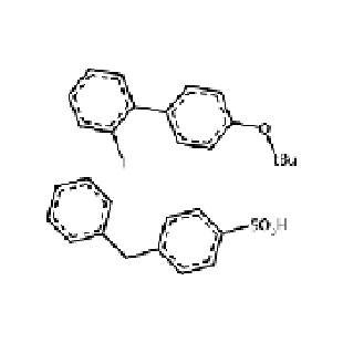 CC(C)(C)Oc1ccc(-c2ccccc2I)cc1.O=S(=O)(O)c1ccc(Cc2ccccc2)cc1